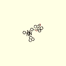 C1=CC2=C(CC1)C1(C3=C(CCC(c4cccc(-c5nc(-c6ccccc6)nc(-c6cc7c8c(cccc8c6)CC=C7)n5)c4)C3)Oc3ccccc31)c1ccccc12